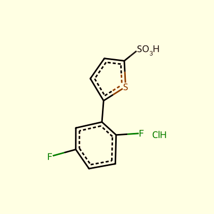 Cl.O=S(=O)(O)c1ccc(-c2cc(F)ccc2F)s1